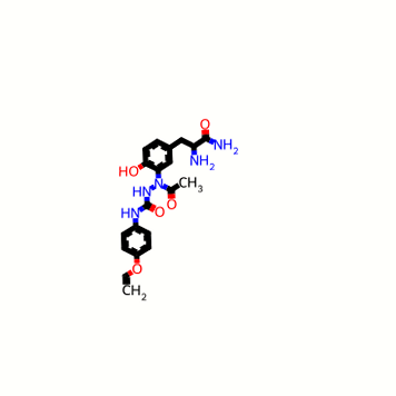 C=COc1ccc(NC(=O)NN(C(C)=O)c2cc(CC(N)C(N)=O)ccc2O)cc1